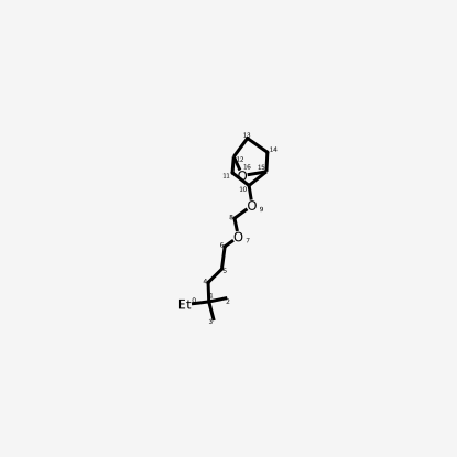 CCC(C)(C)CCCOCOC1CC2CCC1O2